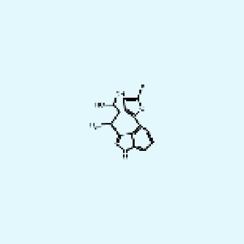 CC(CC(O)O)c1c[nH]c2cccc(-c3ccc(F)o3)c12